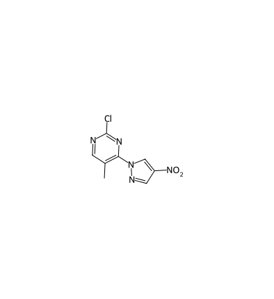 Cc1cnc(Cl)nc1-n1cc([N+](=O)[O-])cn1